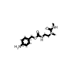 CNC(=O)N(C)CCNC(=O)OCc1ccc(N)cc1